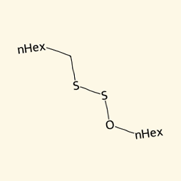 CCCCCCCSSOCCCCCC